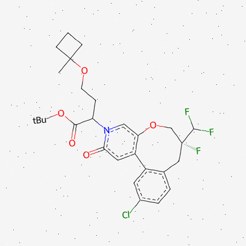 CC(C)(C)OC(=O)C(CCOC1(C)CCC1)n1cc2c(cc1=O)-c1cc(Cl)ccc1C[C@](F)(C(F)F)CO2